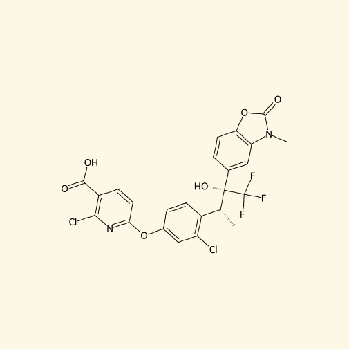 C[C@H](c1ccc(Oc2ccc(C(=O)O)c(Cl)n2)cc1Cl)[C@@](O)(c1ccc2oc(=O)n(C)c2c1)C(F)(F)F